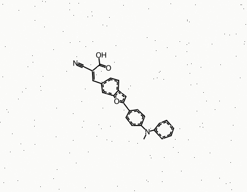 CN(c1ccccc1)c1ccc(-c2cc3ccc(C=C(C#N)C(=O)O)cc3o2)cc1